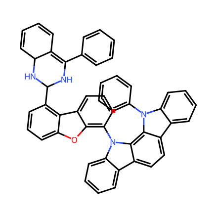 C1=CC2=C(c3ccccc3)NC(c3cccc4oc5c(-n6c7ccccc7c7ccc8c9ccccc9n(-c9ccccc9)c8c76)cccc5c34)NC2C=C1